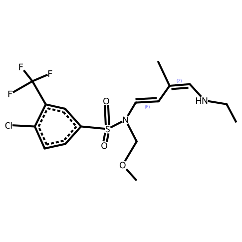 CCN/C=C(C)\C=C\N(COC)S(=O)(=O)c1ccc(Cl)c(C(F)(F)F)c1